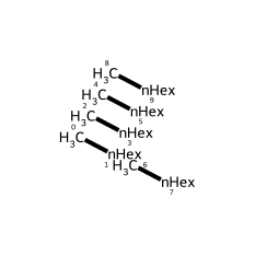 CCCCCCC.CCCCCCC.CCCCCCC.CCCCCCC.CCCCCCC